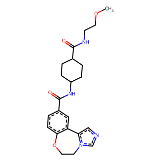 COCCNC(=O)C1CCC(NC(=O)c2ccc3c(c2)-c2cncn2CCO3)CC1